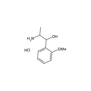 COc1ccccc1C(O)C(C)N.Cl